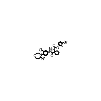 CN=C1CCOCCN1c1ccc(NC(=O)C2(NC(=O)Oc3ccc(Br)s3)CCCC2)cc1Cl